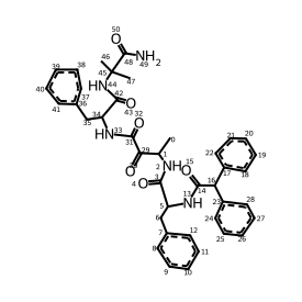 CC(NC(=O)C(Cc1ccccc1)NC(=O)C(c1ccccc1)c1ccccc1)C(=O)C(=O)NC(Cc1ccccc1)C(=O)NC(C)(C)C(N)=O